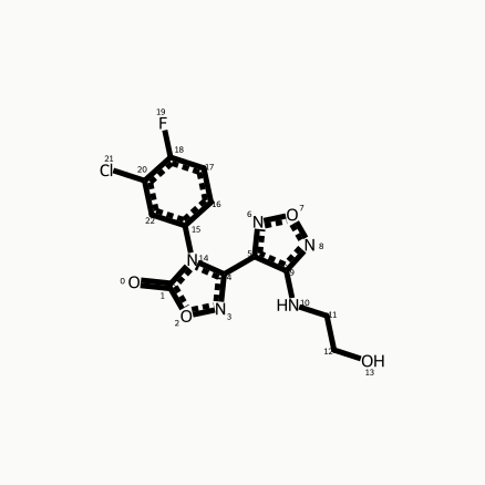 O=c1onc(-c2nonc2NCCO)n1-c1ccc(F)c(Cl)c1